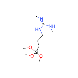 CN=C(NC)NCCC[Si](OC)(OC)OC